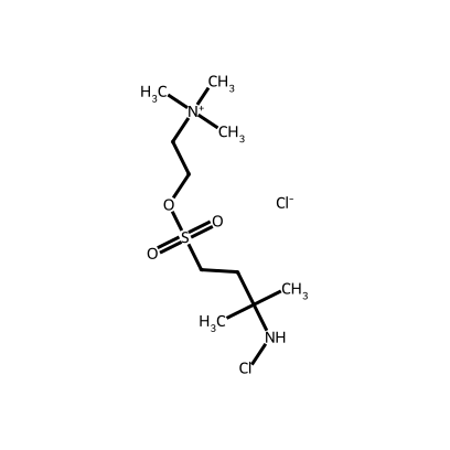 CC(C)(CCS(=O)(=O)OCC[N+](C)(C)C)NCl.[Cl-]